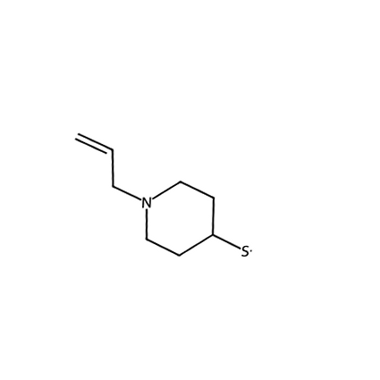 C=CCN1CCC([S])CC1